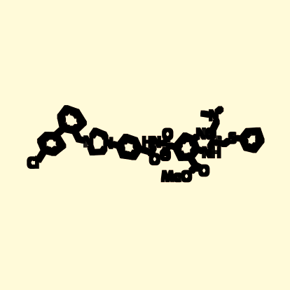 COC(=O)c1cc(S(=O)(=O)NC(=O)c2ccc(N3CCN(Cc4ccccc4-c4ccc(Cl)cc4)CC3)cc2)cc([N+](=O)[O-])c1N[C@H](CCN(C)C)CSc1ccccc1